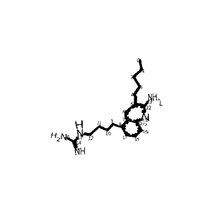 CCCCCc1cc2c(CCCCNC(=N)N)cccc2nc1N